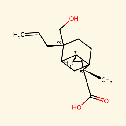 C=CC[C@@]1(CO)CCC23CC1[C@]2(C)CCC[C@@]3(C)C(=O)O